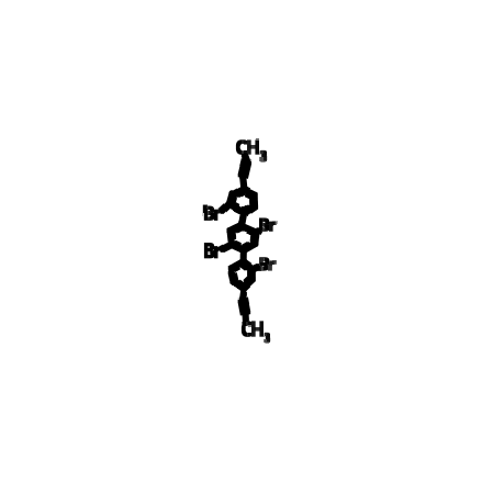 CC#Cc1ccc(-c2cc(Br)c(-c3ccc(C#CC)cc3Br)cc2Br)c(Br)c1